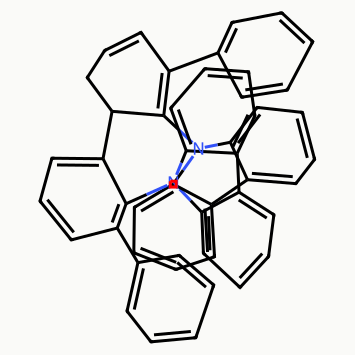 C1=CC(c2ccccc2)=C(n2c3ccccc3c3ccccc32)C(c2cccc(-c3ccccc3)c2-n2c3ccccc3c3ccccc32)C1